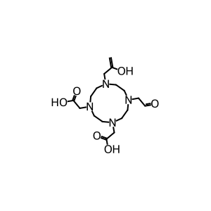 C=C(O)CN1CCN(CC=O)CCN(CC(=O)O)CCN(CC(=O)O)CC1